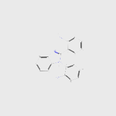 Nc1ccccc1-c1nc2ccccc2n1-c1ccccc1N